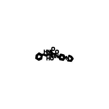 O=C(Nc1ccc(N2CCCCC2)cc1)C1=C(O)C(CCc2ccccc2)NC1=O